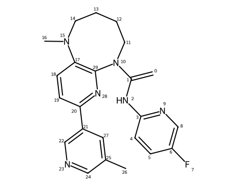 C=C(Nc1ccc(F)cn1)N1CCCCN(C)c2ccc(-c3cncc(C)c3)nc21